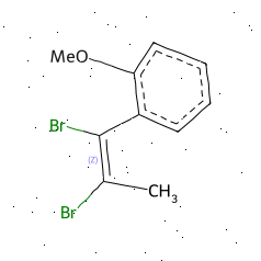 COc1ccccc1/C(Br)=C(\C)Br